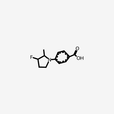 CC1C(F)CCN1c1ccc(C(=O)O)cc1